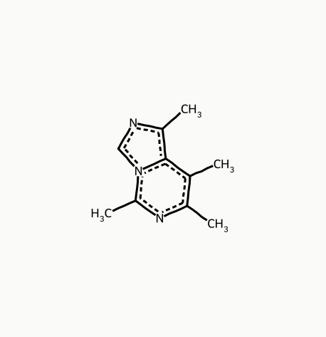 Cc1nc(C)n2cnc(C)c2c1C